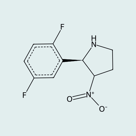 O=[N+]([O-])C1CCN[C@@H]1c1cc(F)ccc1F